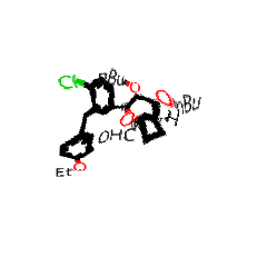 CCCCO[C@@H]1[C@@H](OCCCC)[C@H](c2ccc(Cl)c(Cc3ccc(OCC)cc3)c2)O[C@]2(C=O)CC[C@H]12